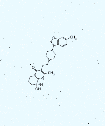 [2H]C1(O)CCCn2c1nc(C)c(CCN1CCC(c3noc4cc(C)ccc34)CC1)c2=O